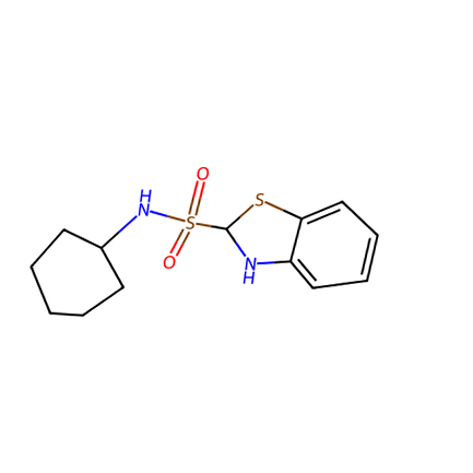 O=S(=O)(NC1CCCCC1)C1Nc2ccccc2S1